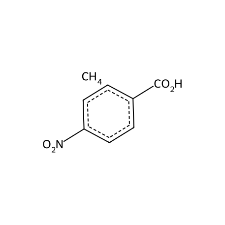 C.O=C(O)c1ccc([N+](=O)[O-])cc1